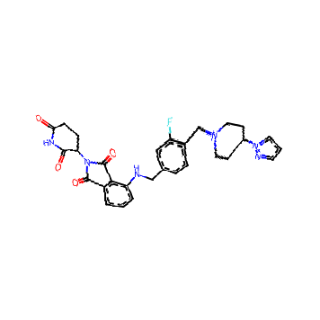 O=C1CCC(N2C(=O)c3cccc(NCc4ccc(CN5CCC(n6cccn6)CC5)c(F)c4)c3C2=O)C(=O)N1